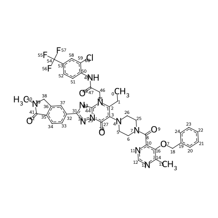 CCc1c(N2CCN(C(=O)c3ncnc(C)c3OCc3ccccc3)CC2)c(=O)n2nc(-c3ccc4c(c3)CN(C)C4=O)nc2n1CC(=O)Nc1ccc(C(F)(F)F)cc1Cl